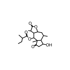 CCC(C)C(=O)OC1C2C(CC(C)C3C(O)CC(=O)C13C)OC(=O)C2C